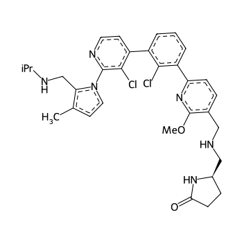 COc1nc(-c2cccc(-c3ccnc(-n4ccc(C)c4CNC(C)C)c3Cl)c2Cl)ccc1CNC[C@H]1CCC(=O)N1